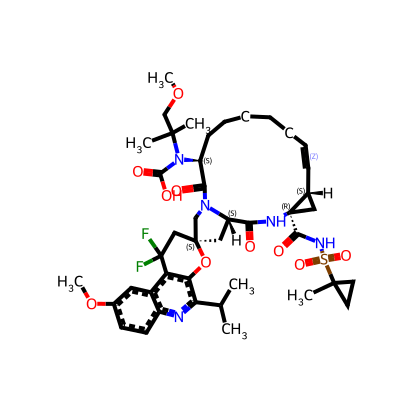 COCC(C)(C)N(C(=O)O)[C@H]1CCCCC/C=C\[C@@H]2C[C@@]2(C(=O)NS(=O)(=O)C2(C)CC2)NC(=O)[C@@H]2C[C@@]3(CN2C1=O)CC(F)(F)c1c(c(C(C)C)nc2ccc(OC)cc12)O3